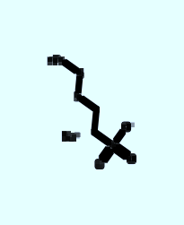 CCCSSCCS(=O)(=O)[O-].[Na+]